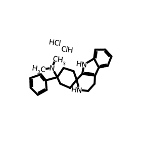 CN(C)C1(c2ccccc2)CCC2(CC1)NCCc1c2[nH]c2ccccc12.Cl.Cl